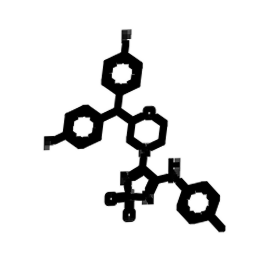 Cc1ccc(NC2=NS(=O)(=O)N=C2N2CCOC(C(c3ccc(F)cc3)c3ccc(F)cc3)C2)cc1